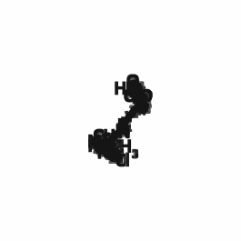 Cc1c(C#Cc2cn(CCCCCc3cccc4c3CN(C3CCC(=O)NC3=O)C4=O)cn2)sc2c1C(c1ccc(Cl)cc1)=NCc1nnc(C)n1-2